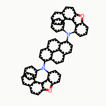 c1ccc(N(c2ccc3ccc4c(N(c5ccccc5)c5cccc6oc7ccc8ccccc8c7c56)ccc5ccc2c3c54)c2cccc3oc4ccc5ccccc5c4c23)cc1